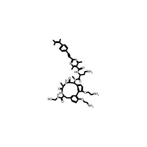 CC(C)=C(C)c1ccc(C#Cc2nc(C)c(C(=O)NC(CCN)C(=O)N(C)C3C(=O)NC(C)C(=O)NC(C(=O)NCC#N)Cc4ccc(OCCN)c(c4)-c4cc3ccc4OCCN)c(C)n2)cc1